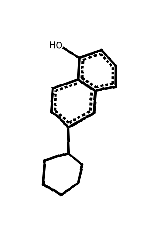 Oc1cccc2cc(C3CCCCC3)ccc12